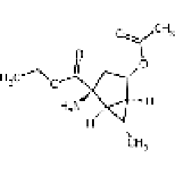 CCOC(=O)[C@]1(N)C[C@H](OC(C)=O)[C@H]2[C@H](C)[C@H]21